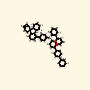 c1ccc(-c2ccc(-c3ccc(N(c4ccc(-c5cccc6c5-c5ccccc5C65CC6CCC5C6)cc4)c4ccccc4-c4ccccc4)cc3)cc2)cc1